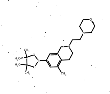 Cc1cc(B2OC(C)(C)C(C)(C)O2)cc2c1CCN(CCN1CCOCC1)C2